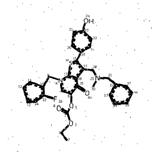 CCOC(=O)Oc1cn(Cc2ccccc2F)c2sc(-c3ccc(O)cc3)c(CN(C)Cc3ccccc3)c2c1=O